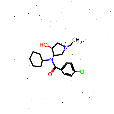 CCN1C[C@H](O)[C@@H](N(C(=O)c2ccc(Cl)cc2)C2CCCCC2)C1